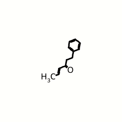 CC=CC(=O)CCc1ccccc1